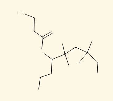 CCCC(OC(=O)CCN)C(C)(C)CC(C)(C)CC